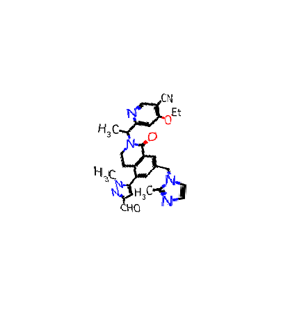 CCOc1cc(C(C)N2CCc3c(cc(Cn4ccnc4C)cc3-c3cc(C=O)nn3C)C2=O)ncc1C#N